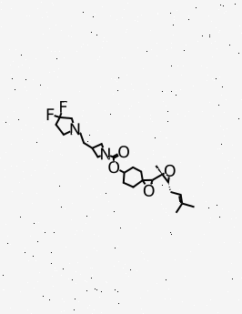 CC(C)=CC[C@H]1O[C@@]1(C)C1OC12CCC(OC(=O)N1CC(CCN3CCC(F)(F)C3)C1)CC2